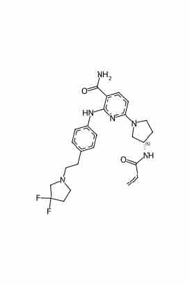 C=CC(=O)N[C@H]1CCN(c2ccc(C(N)=O)c(Nc3ccc(CCN4CCC(F)(F)C4)cc3)n2)C1